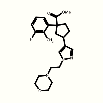 COC(=O)C1(c2cccc(F)c2C)CCC(c2cnn(CCN3CCOCC3)c2)C1